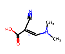 CN(C)/C=C(\C#N)C(=O)O